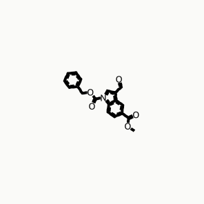 COC(=O)c1ccc2c(c1)c(C=O)cn2C(=O)OCc1ccccc1